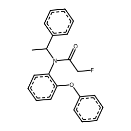 CC(c1ccccc1)N(C(=O)CF)c1ccccc1Oc1ccccc1